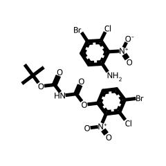 CC(C)(C)OC(=O)NC(=O)Oc1ccc(Br)c(Cl)c1[N+](=O)[O-].Nc1ccc(Br)c(Cl)c1[N+](=O)[O-]